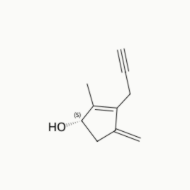 C#CCC1=C(C)[C@@H](O)CC1=C